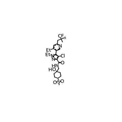 CCc1cc(CC(C)(C)C(F)(F)F)ncc1-c1c(Cl)c(C(=O)NC[C@]2(O)CC[C@@H](S(C)(=O)=O)CC2)nn1CC